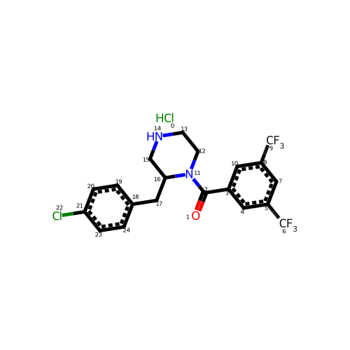 Cl.O=C(c1cc(C(F)(F)F)cc(C(F)(F)F)c1)N1CCNCC1Cc1ccc(Cl)cc1